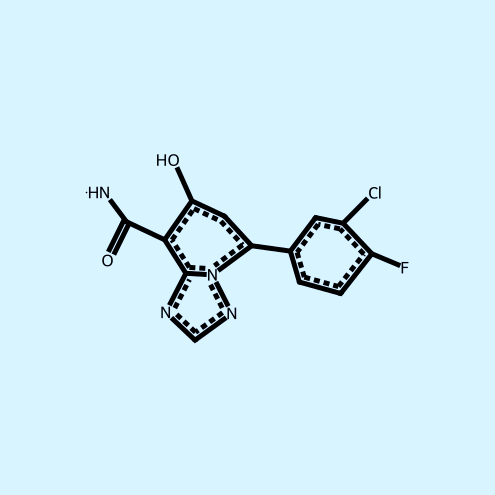 [NH]C(=O)c1c(O)cc(-c2ccc(F)c(Cl)c2)n2ncnc12